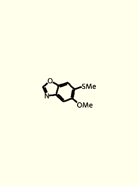 COc1cc2ncoc2cc1SC